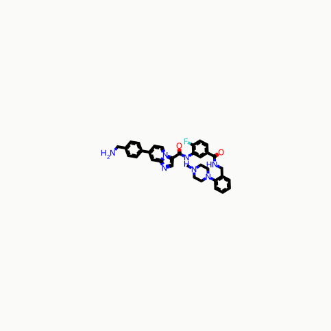 CN1CCN(c2ccccc2CNC(=O)c2ccc(F)c(NC(=O)c3cnc4cc(-c5ccc(CN)cc5)ccn34)c2)CC1